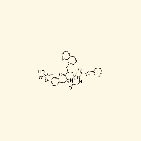 CN1CC(=O)N2[C@@H](Cc3ccc(OP(=O)(O)O)cc3)C(=O)N(Cc3cccc4cccnc34)C[C@@H]2N1C(=O)NCc1ccccc1